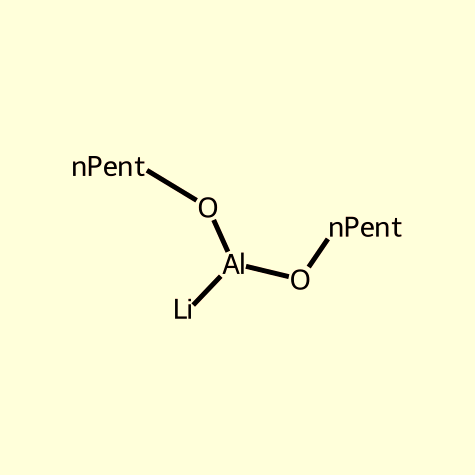 [Li][Al]([O]CCCCC)[O]CCCCC